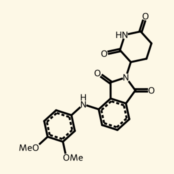 COc1ccc(Nc2cccc3c2C(=O)N(C2CCC(=O)NC2=O)C3=O)cc1OC